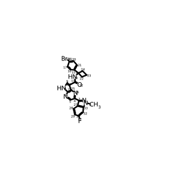 Cn1nc(-c2cnc3[nH]cc(C(=O)NC4(c5ccc(Br)cc5)CCC4)c3n2)c2ccc(F)cc21